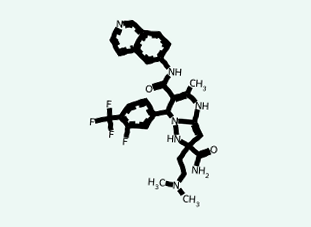 CC1=C(C(=O)Nc2ccc3cnccc3c2)C(c2ccc(C(F)(F)F)c(F)c2)N2NC(CCN(C)C)(C(N)=O)C=C2N1